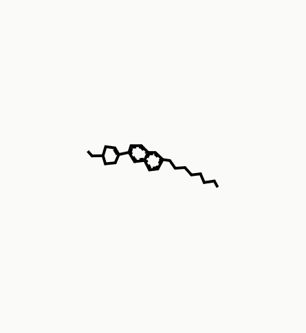 CCCCCCCCc1ccc2cc(C3=CCC(CC)CC3)ccc2c1